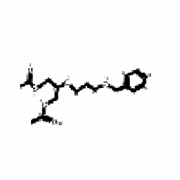 CC(=O)OCC(COC(C)=O)OCCCOCc1ccccc1